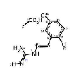 CC(=O)O.[H]/N=C(\N)NN=Cc1cc(Cl)ccc1Cl